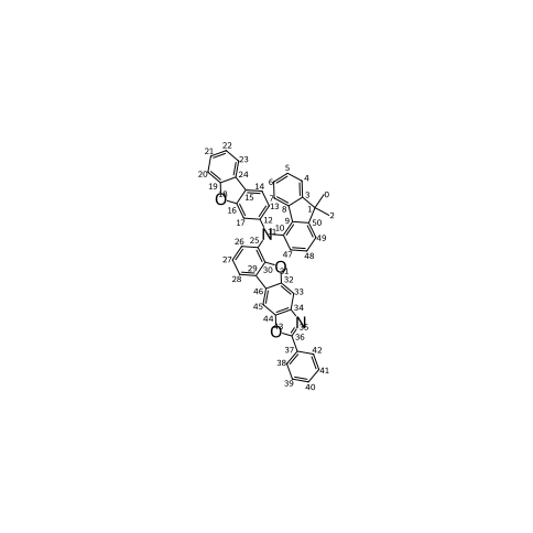 CC1(C)c2ccccc2-c2c(N(c3ccc4c(c3)oc3ccccc34)c3cccc4c3oc3cc5nc(-c6ccccc6)oc5cc34)cccc21